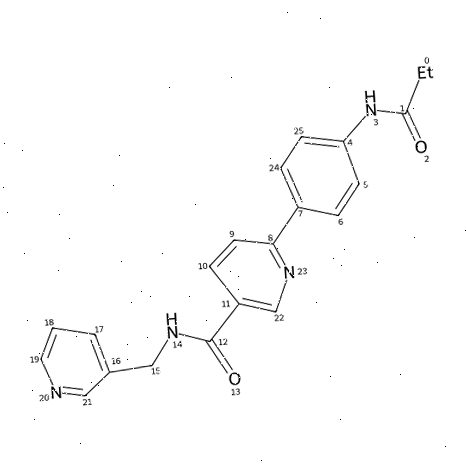 CCC(=O)Nc1ccc(-c2ccc(C(=O)NCc3cccnc3)cn2)cc1